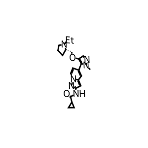 CCN1CCC[C@H]1COc1cnn(C)c1-c1ccn2nc(NC(=O)C3CC3)cc2c1